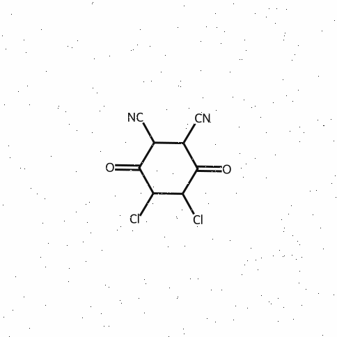 N#CC1C(=O)C(Cl)C(Cl)C(=O)C1C#N